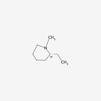 CC[C@@H]1CCCCN1C